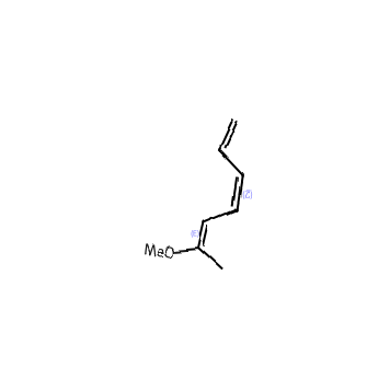 C=C/C=C\C=C(/C)OC